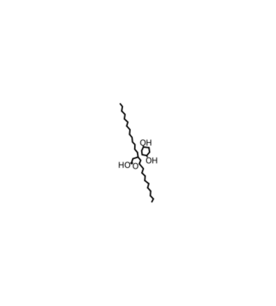 CCCCCCCCCCCCCCC(CCCCCCCCCCCC)CC(=O)O.OC1CCC(O)CC1